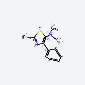 CC(C)c1nc(-c2ccccc2)c(N(C)C)s1